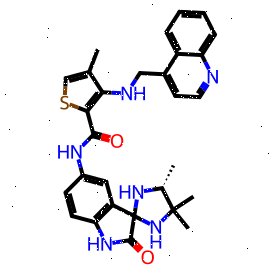 Cc1csc(C(=O)Nc2ccc3c(c2)C2(N[C@H](C)C(C)(C)N2)C(=O)N3)c1NCc1ccnc2ccccc12